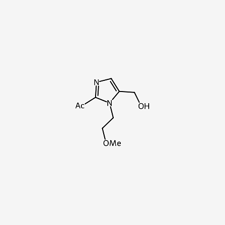 COCCn1c(CO)cnc1C(C)=O